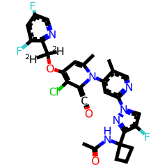 [2H]C([2H])(OC1=C(Cl)C(=C=O)N(c2cc(-n3cc(F)c(C4(NC(C)=O)CCC4)n3)ncc2C)C(C)=C1)c1ncc(F)cc1F